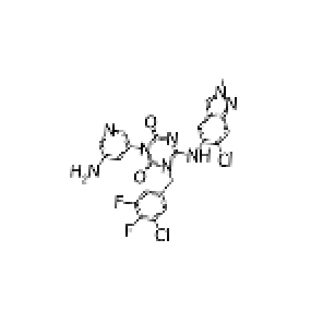 Cn1cc2cc(Nc3nc(=O)n(-c4cncc(N)c4)c(=O)n3Cc3cc(F)c(F)c(Cl)c3)c(Cl)cc2n1